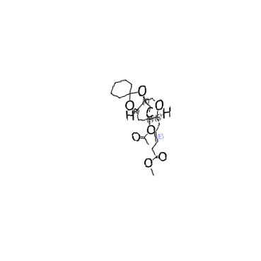 COC(=O)C/C=C/C[C@@H]1OC[C@]23CC[C@@]1(OC(C)=O)C[C@H]2OC1(CCCCC1)O3